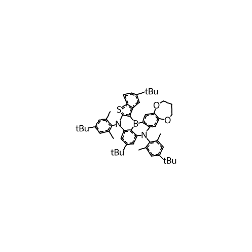 Cc1cc(C(C)(C)C)cc(C)c1N1c2cc3c(cc2B2c4c1cc(C(C)(C)C)cc4N(c1c(C)cc(C(C)(C)C)cc1C)c1sc4ccc(C(C)(C)C)cc4c12)OCCCO3